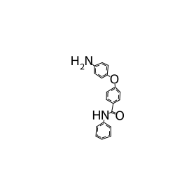 Nc1ccc(Oc2ccc(C(=O)Nc3ccccc3)cc2)cc1